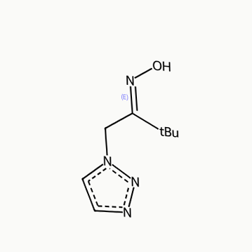 CC(C)(C)/C(Cn1ccnn1)=N\O